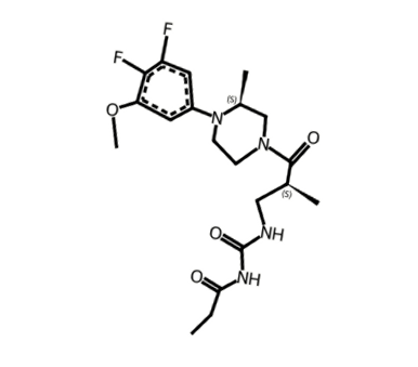 CCC(=O)NC(=O)NC[C@H](C)C(=O)N1CCN(c2cc(F)c(F)c(OC)c2)[C@@H](C)C1